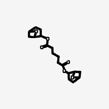 O=C(CCCCC(=O)OC1CCC2CC1O2)OC1CCC2CC1O2